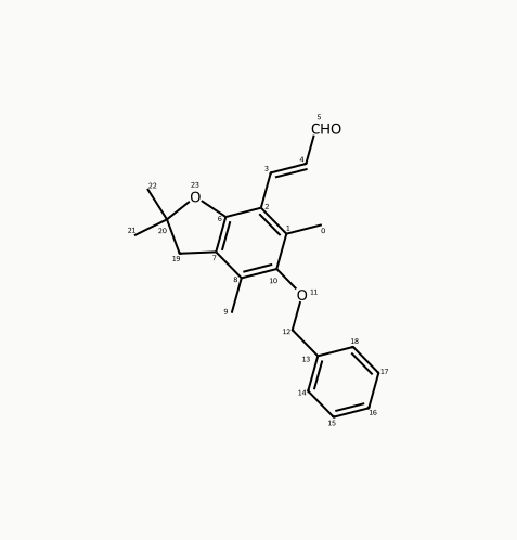 Cc1c(C=CC=O)c2c(c(C)c1OCc1ccccc1)CC(C)(C)O2